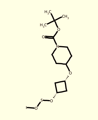 CC(C)(C)OC(=O)N1CCC(O[C@H]2C[C@@H](OSOI)C2)CC1